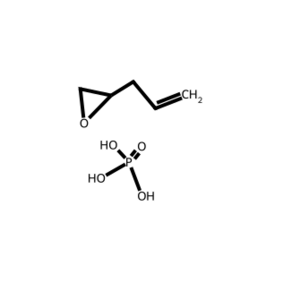 C=CCC1CO1.O=P(O)(O)O